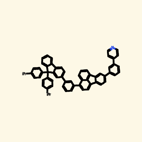 CC(C)c1ccc(C2(c3ccc(C(C)C)cc3)c3ccccc3-c3ccc(-c4cccc(-c5ccc6c7c(cccc57)-c5cc(-c7cccc(-c8ccncc8)c7)ccc5-6)c4)cc32)cc1